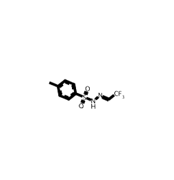 Cc1ccc(S(=O)(=O)N/N=C/C(F)(F)F)cc1